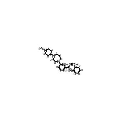 CC(C)N1CCC(N2CCCN(C3C=CC=C(C(=O)Nc4ccccc4O)N3)CC2)CC1